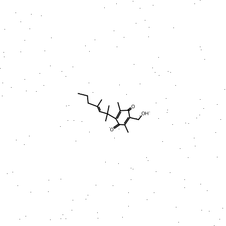 CCC/C(C)=C/C(C)(C)C1=C(C)C(=O)C(CO)=C(C)C1=O